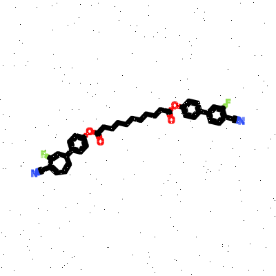 N#CC1=CC=CC(c2ccc(OC(=O)CCCCCCCCCC(=O)Oc3ccc(-c4ccc(C#N)c(F)c4)cc3)cc2)C=C1F